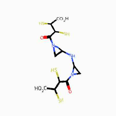 O=C(O)C(S)C(S)C(=O)N1CC1NC1CN1C(=O)C(S)C(S)C(=O)O